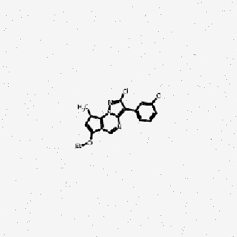 CCOC1=CC(C)c2c1cnc1c(-c3cccc(Cl)c3)c(Cl)nn21